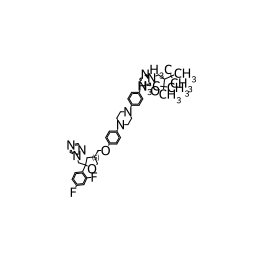 CC(C)(C)C(Cn1ncn(-c2ccc(N3CCN(c4ccc(OC[C@H]5COC(Cn6cncn6)(c6ccc(F)cc6F)C5)cc4)CC3)cc2)c1=O)C(C)(C)C